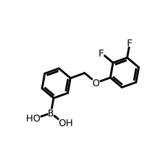 OB(O)c1cccc(COc2cccc(F)c2F)c1